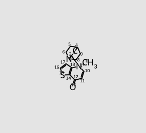 C[N+]1(C2CC3CCN2CC3)C=CC(=O)c2sccc21